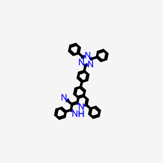 N#C/C(C(=N)c1ccccc1)=C1/NC(c2ccccc2)=Cc2cc(-c3ccc(-c4nc(-c5ccccc5)nc(-c5ccccc5)n4)cc3)ccc21